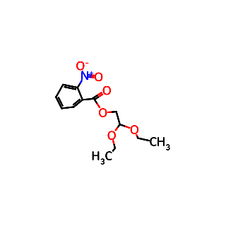 CCOC(COC(=O)c1ccccc1[N+](=O)[O-])OCC